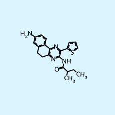 CCC(C)C(=O)Nc1nc2c(nc1-c1cccs1)-c1ccc(N)cc1CC2